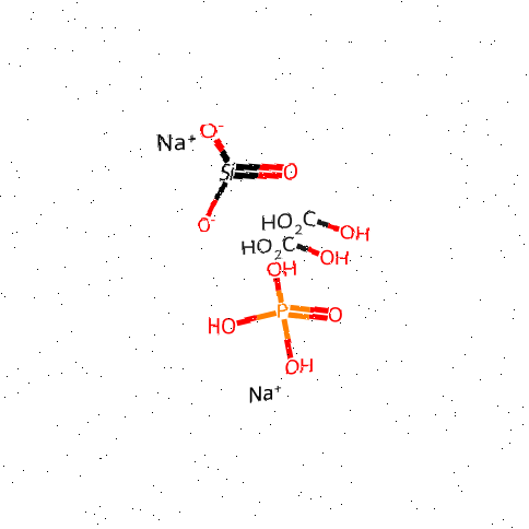 O=C(O)O.O=C(O)O.O=P(O)(O)O.O=[Si]([O-])[O-].[Na+].[Na+]